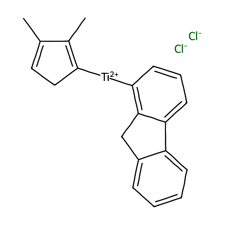 CC1=CC[C]([Ti+2][c]2cccc3c2Cc2ccccc2-3)=C1C.[Cl-].[Cl-]